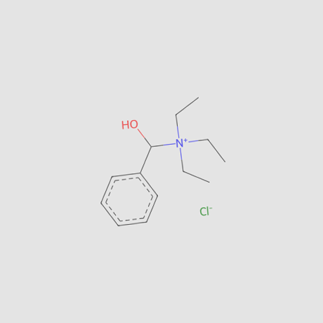 CC[N+](CC)(CC)C(O)c1ccccc1.[Cl-]